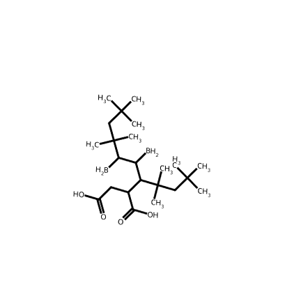 BC(C(B)C(C)(C)CC(C)(C)C)C(C(CC(=O)O)C(=O)O)C(C)(C)CC(C)(C)C